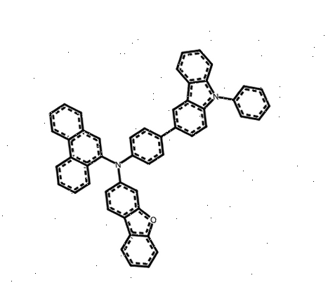 c1ccc(-n2c3ccccc3c3cc(-c4ccc(N(c5ccc6c(c5)oc5ccccc56)c5cc6ccccc6c6ccccc56)cc4)ccc32)cc1